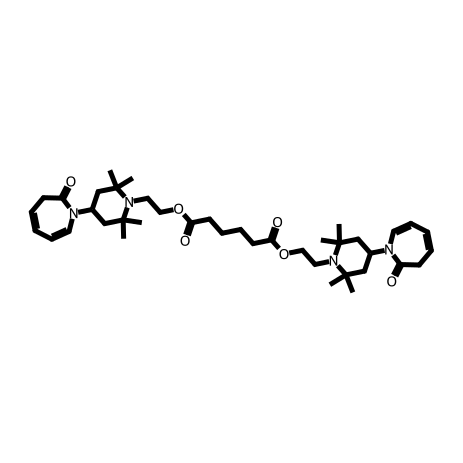 CC1(C)CC(N2C=CC=CCC2=O)CC(C)(C)N1CCOC(=O)CCCCC(=O)OCCN1C(C)(C)CC(N2C=CC=CCC2=O)CC1(C)C